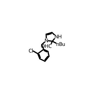 CCCCC1(C=O)NC=CN1Cc1ccccc1Cl